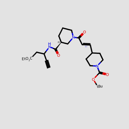 C#CC(CC(=O)OCC)NC(=O)[C@H]1CCCN(C(=O)/C=C/C2CCN(C(=O)OC(C)(C)C)CC2)C1